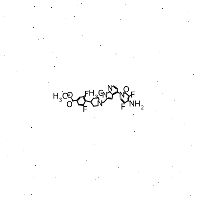 COC(=O)c1cc(F)c(C2CCN(Cc3cc4c(-n5cc(F)c(N)c(F)c5=O)ccnc4n3C)CC2)c(F)c1